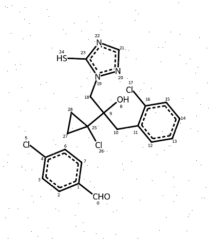 O=Cc1ccc(Cl)cc1.OC(Cc1ccccc1Cl)(Cn1ncnc1S)C1(Cl)CC1